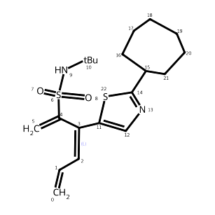 C=C/C=C(\C(=C)S(=O)(=O)NC(C)(C)C)c1cnc(C2CCCCCC2)s1